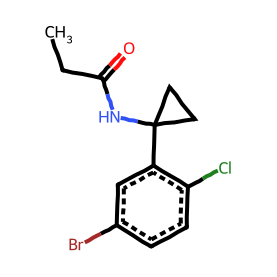 CCC(=O)NC1(c2cc(Br)ccc2Cl)CC1